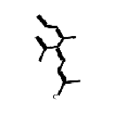 C=C\C=C(C)/C(=C/C=C(\C)Cl)C(=C)C